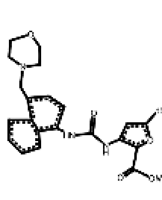 COC(=O)c1oc(C(C)(C)C)cc1NC(=O)Nc1ccc(CN2CCOCC2)c2ccccc12